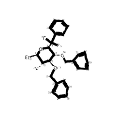 CC[C@H]1O[C@@H](C(F)(F)c2ccccc2)[C@H](OCc2ccccc2)[C@@H](OCc2ccccc2)[C@@H]1C